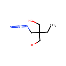 CCC(CO)(CO)CN=[N+]=[N-]